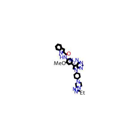 CCc1nnc2n1CCN(C1CCC(n3cc(-c4ccc(NC(=O)c5cc6ccccc6n5C)c(OC)c4)c4c(N)ncnc43)CC1)C2